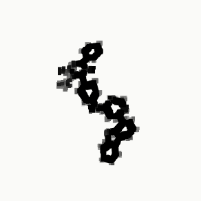 CN(C)C(NC(=O)c1ccccc1)c1ccc(Nc2cc(-c3cccc4c3oc3ccccc34)ncn2)cc1